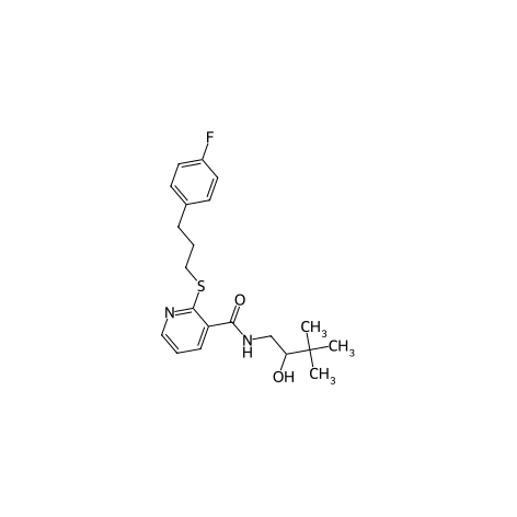 CC(C)(C)C(O)CNC(=O)c1cccnc1SCCCc1ccc(F)cc1